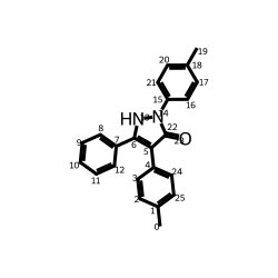 Cc1ccc(-c2c(-c3ccccc3)[nH]n(-c3ccc(C)cc3)c2=O)cc1